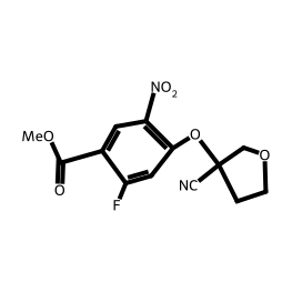 COC(=O)c1cc([N+](=O)[O-])c(OC2(C#N)CCOC2)cc1F